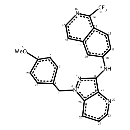 COc1ccc(Cn2nc(Nc3ccc4c(C(F)(F)F)nccc4c3)c3ncccc32)cc1